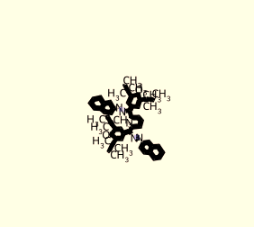 CCC(C)(C)C1=CC(=C(/N=N/c2ccc3ccccc3c2)c2cccc(C(/N=N/c3ccc4ccccc4c3)=C3C=C(C(C)(C)CC)C(=O)C(C(C)(C)CC)=C3)n2)C=C(C(C)(C)CC)C1=O